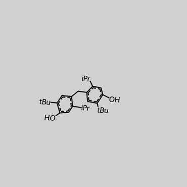 CC(C)c1cc(O)c(C(C)(C)C)cc1Cc1cc(C(C)(C)C)c(O)cc1C(C)C